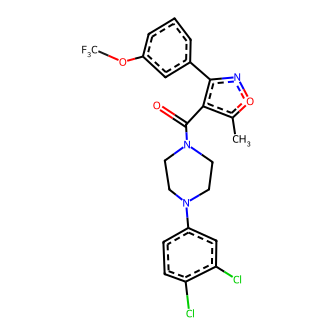 Cc1onc(-c2cccc(OC(F)(F)F)c2)c1C(=O)N1CCN(c2ccc(Cl)c(Cl)c2)CC1